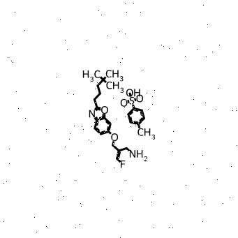 CC(C)(C)CCCc1nc2ccc(OC/C(=C/F)CN)cc2o1.Cc1ccc(S(=O)(=O)O)cc1